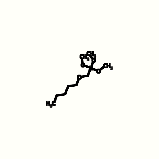 CCCCCOC[Si](OC)(OC)OC